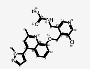 Cc1cc(-c2ccnn2C)c2cccc(OCc3c(Cl)cncc3CNC(=O)C(C)(C)C)c2n1